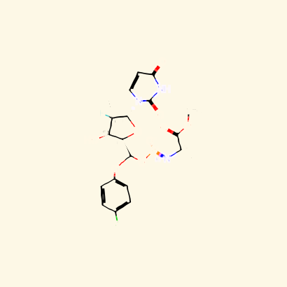 CCCCOC(=O)[C@H](C)/N=[P+](\[O-])OC(Oc1ccc(Cl)cc1)[C@@H]1O[C@@H](n2ccc(=O)[nH]c2=O)[C@](C)(F)[C@@H]1O